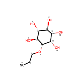 N#CCCO[C@@H]1[C@@H](O)[C@H](O)[C@@H](O)[C@H](O)[C@@H]1O